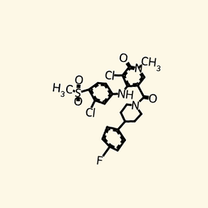 Cn1cc(C(=O)N2CCC(c3ccc(F)cc3)CC2)c(Nc2ccc(S(C)(=O)=O)c(Cl)c2)c(Cl)c1=O